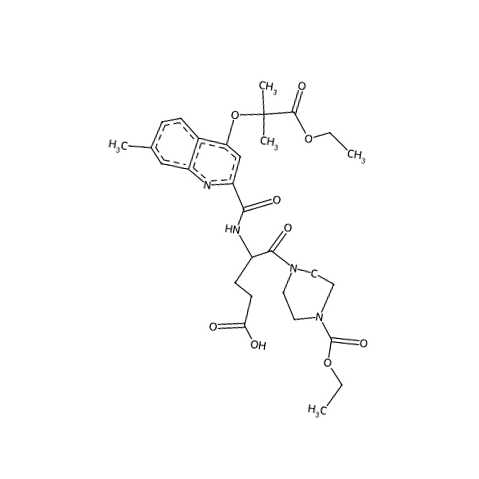 CCOC(=O)N1CCN(C(=O)C(CCC(=O)O)NC(=O)c2cc(OC(C)(C)C(=O)OCC)c3ccc(C)cc3n2)CC1